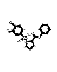 O=C(Oc1ccccc1)C1CCCN1S(=O)(=O)c1ccc(Cl)c(Cl)c1